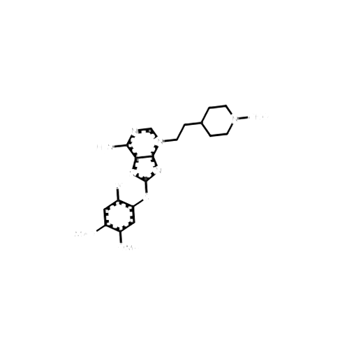 COc1cc(Br)c(Sc2nc3c(N)ncn(CCC4CCN(C=O)CC4)c-3n2)cc1OC